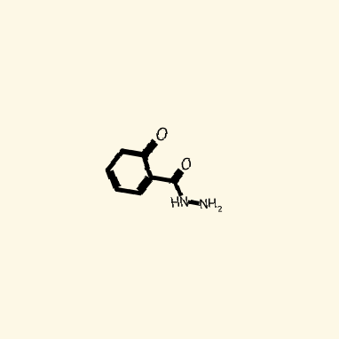 NNC(=O)C1=CC=CCC1=O